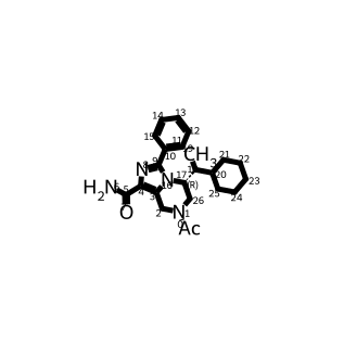 CC(=O)N1Cc2c(C(N)=O)nc(-c3ccccc3)n2[C@H](C(C)C2CCCCC2)C1